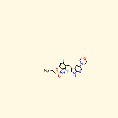 CCCS(=O)(=O)Nc1ccc(F)c(Cc2c[nH]c3ncc(N4CCOCC4)cc23)c1F